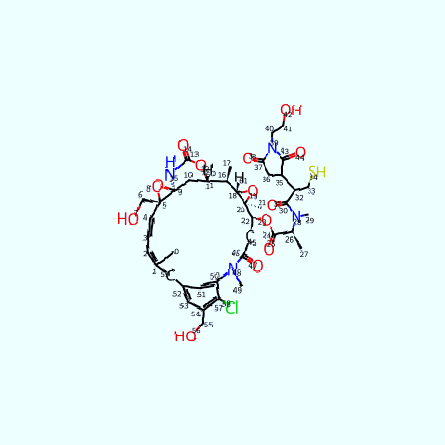 C/C1=C\C=C\[C@]2(CO)O[C@@]23C[C@H](OC(=O)N3)[C@@H](C)[C@@H]2O[C@@]2(C)[C@@H](OC(=O)[C@H](C)N(C)C(=O)C(CS)C2CC(=O)N(CCO)C2=O)CC(=O)N(C)c2cc(cc(CO)c2Cl)C1